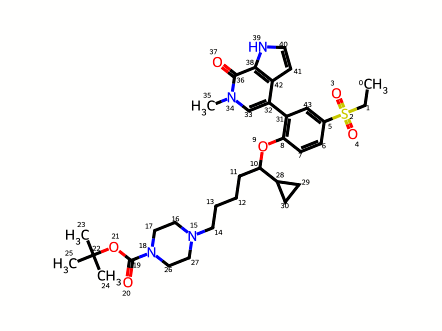 CCS(=O)(=O)c1ccc(OC(CCCCN2CCN(C(=O)OC(C)(C)C)CC2)C2CC2)c(-c2cn(C)c(=O)c3[nH]ccc23)c1